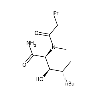 CCCC[C@@H](C)[C@@H](O)[C@@H](C(N)=O)N(C)C(=O)CC(C)C